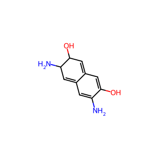 Nc1cc2c(cc1O)=CC(O)C(N)C=2